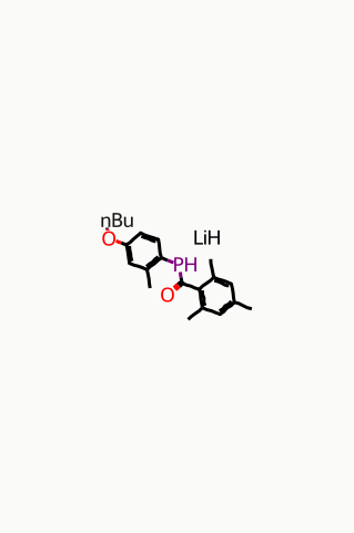 CCCCOc1ccc(PC(=O)c2c(C)cc(C)cc2C)c(C)c1.[LiH]